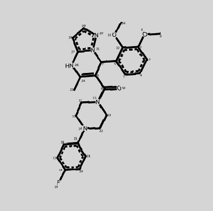 COc1cccc(C2C(C(=O)N3CCN(c4ccc(F)cc4)CC3)=C(C)Nc3ccnn32)c1OC